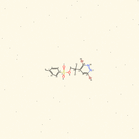 Cc1ccc(S(=O)(=O)OCC(C)(C)c2cc(Br)nnc2Br)cc1